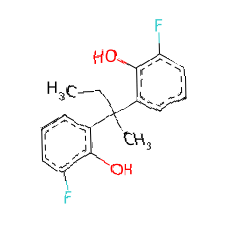 CCC(C)(c1cccc(F)c1O)c1cccc(F)c1O